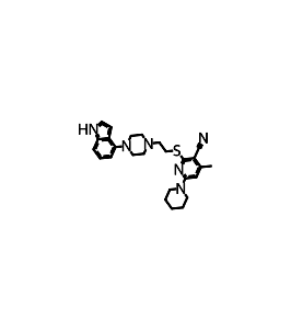 Cc1cc(N2CCCCC2)nc(SCCN2CCN(c3cccc4[nH]ccc34)CC2)c1C#N